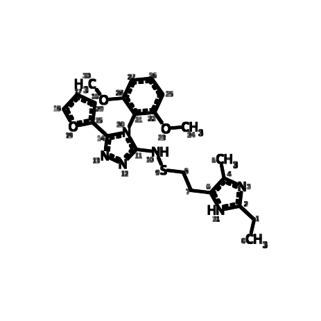 CCc1nc(C)c(CCSNc2nnc(-c3ccco3)n2-c2c(OC)cccc2OC)[nH]1